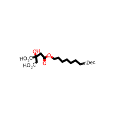 CCCCCCCCCCCCCCCCCOC(=O)CC(O)(CC(=O)O)C(=O)O